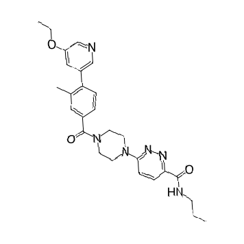 CCCNC(=O)c1ccc(N2CCN(C(=O)c3ccc(-c4cncc(OCC)c4)c(C)c3)CC2)nn1